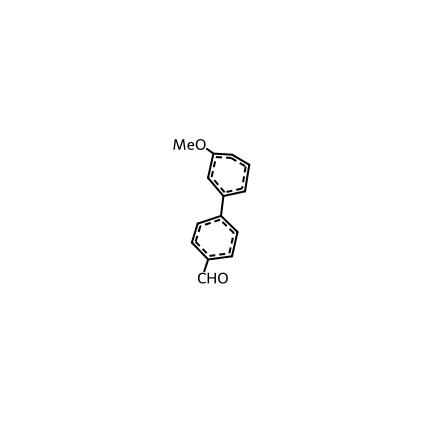 COc1cccc(-c2ccc(C=O)cc2)c1